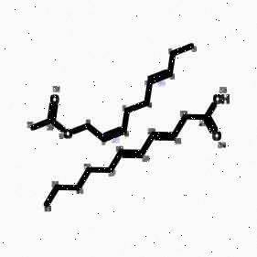 CC/C=C/CC/C=C\COC(C)=O.CCCCCC=CC=CCC(=O)O